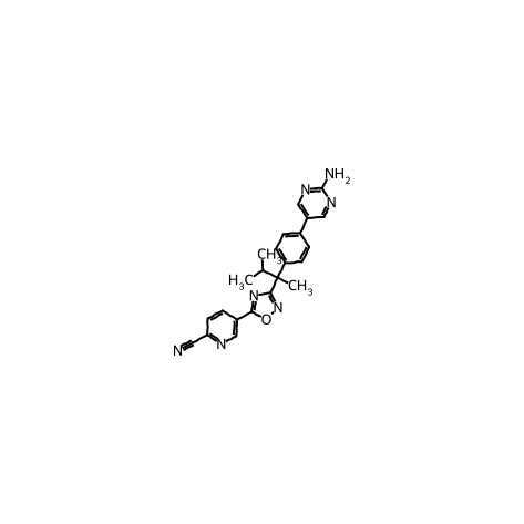 CC(C)C(C)(c1ccc(-c2cnc(N)nc2)cc1)c1noc(-c2ccc(C#N)nc2)n1